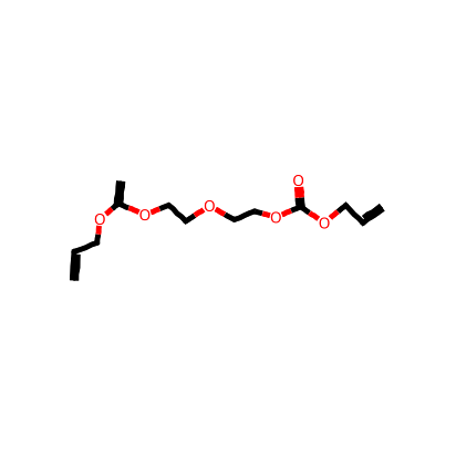 C=CCOC(=C)OCCOCCOC(=O)OCC=C